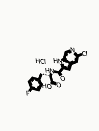 Cl.O=C(N[C@@H](Cc1ccc(F)cc1)C(=O)O)c1cc2cc(Cl)ncc2[nH]1